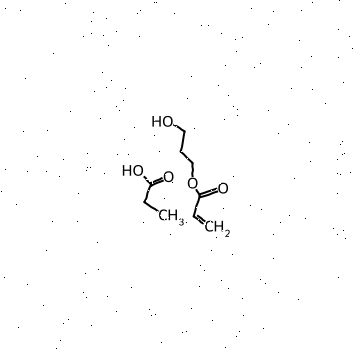 C=CC(=O)OCCCO.CCC(=O)O